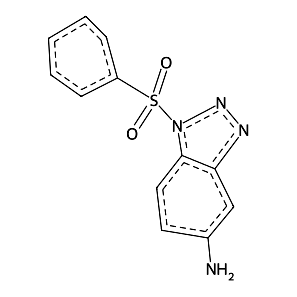 Nc1ccc2c(c1)nnn2S(=O)(=O)c1ccccc1